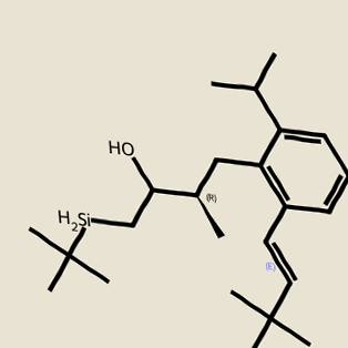 CC(C)c1cccc(/C=C/C(C)(C)C)c1C[C@@H](C)C(O)C[SiH2]C(C)(C)C